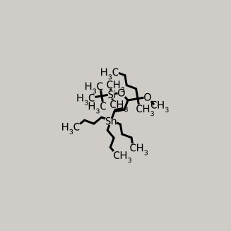 CCCCC(C)(OC)C(C=[CH][Sn]([CH2]CCC)([CH2]CCC)[CH2]CCC)O[Si](C)(C)C(C)(C)C